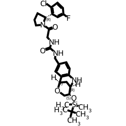 CC(C)(C)[Si](C)(C)O[C@@H]1CO[C@@H]2C[C@H]1Nc1ccc(CNC(=O)NCC(=O)N3CCC[C@@H]3c3cc(F)ccc3Cl)cc12